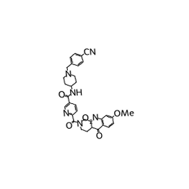 COc1ccc(C(=O)C2CCN(C(=O)c3ccc(C(=O)NC4CCN(Cc5ccc(C#N)cc5)CC4)cn3)CC2)c([N+](=O)[O-])c1